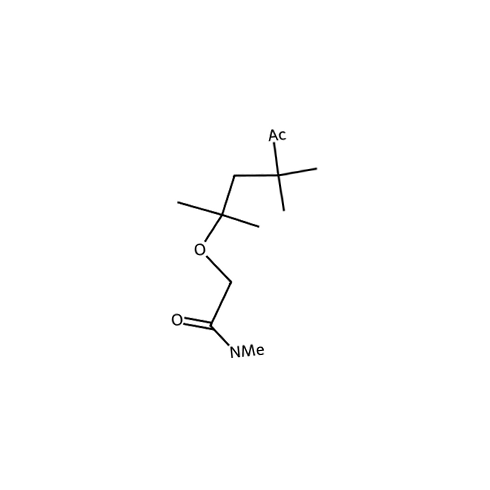 CNC(=O)COC(C)(C)CC(C)(C)C(C)=O